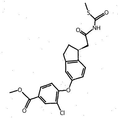 COC(=O)c1ccc(Oc2ccc3c(c2)CC[C@H]3CC(=O)NC(=O)SC)c(Cl)c1